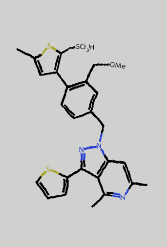 COCc1cc(Cn2nc(-c3cccs3)c3c(C)nc(C)cc32)ccc1-c1cc(C)sc1S(=O)(=O)O